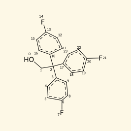 OCC(c1ccc(F)cc1)(c1ccc(F)cc1)c1ccc(F)cc1